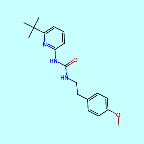 COc1ccc(CCNC(=O)Nc2cccc(C(C)(C)C)n2)cc1